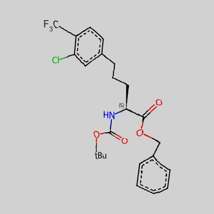 CC(C)(C)OC(=O)N[C@@H](CCCc1ccc(C(F)(F)F)c(Cl)c1)C(=O)OCc1ccccc1